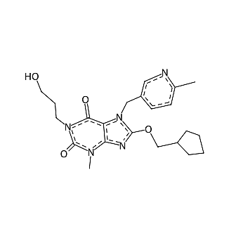 Cc1ccc(Cn2c(OCC3CCCC3)nc3c2c(=O)n(CCCO)c(=O)n3C)cn1